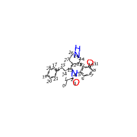 CCC(=O)N(c1cccc(OC)c1)C(CCc1ccccc1)C1CCNCC1